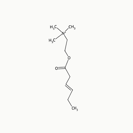 CCC=CCC(=O)OCC[N+](C)(C)C